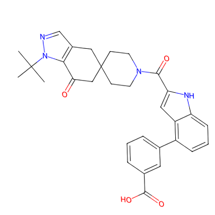 CC(C)(C)n1ncc2c1C(=O)CC1(CCN(C(=O)c3cc4c(-c5cccc(C(=O)O)c5)cccc4[nH]3)CC1)C2